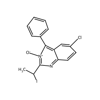 CC(I)c1nc2ccc(Cl)cc2c(-c2ccccc2)[n+]1[O-]